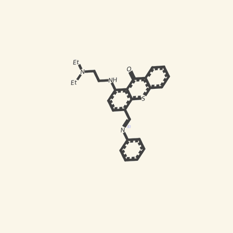 CCN(CC)CCNc1ccc(/C=N/c2ccccc2)c2sc3ccccc3c(=O)c12